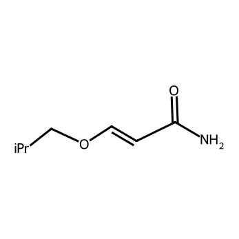 CC(C)COC=CC(N)=O